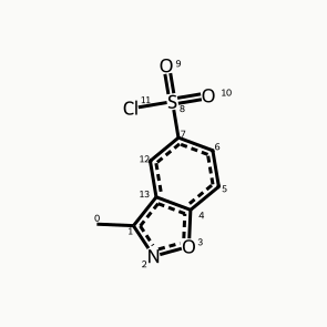 Cc1noc2ccc(S(=O)(=O)Cl)cc12